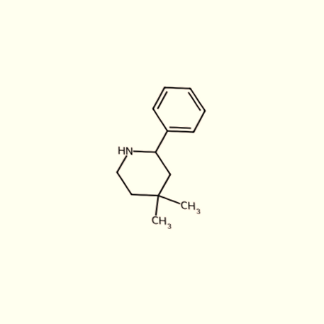 CC1(C)CCNC(c2ccccc2)C1